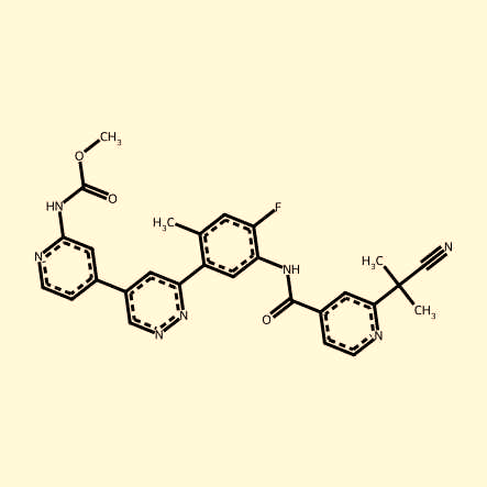 COC(=O)Nc1cc(-c2cnnc(-c3cc(NC(=O)c4ccnc(C(C)(C)C#N)c4)c(F)cc3C)c2)ccn1